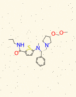 CCCNC(=O)c1ccc(N(C)[C@H](CN2CC[C@H](OCOC)C2)c2ccccc2)s1